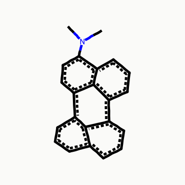 CN(C)c1ccc2c3cccc4cccc(c5cccc1c52)c43